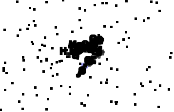 C=CCOC/C=C/[C@H]1CC(=C)[C@H](CC[C@H]2C[C@@H](C)C(=C)[C@@H](C[C@@H]3O[C@H](C[C@H](O)COC(N)=O)[C@H](OC)[C@H]3CS(=O)(=O)c3ccccc3)O2)O1